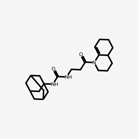 O=C(NCCC(=O)N1CCCC2CCCC=C21)NC12CC3CC(CC(C3)C1)C2